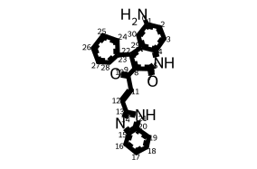 Nc1ccc2[nH]c(=O)c(C(=O)/C=C/c3nc4ccccc4[nH]3)c(-c3ccccc3)c2c1